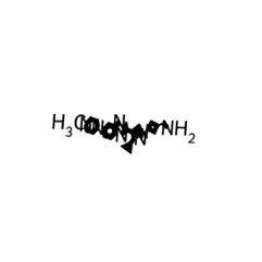 CN1CCN(c2ccc3nc(-c4cn([C@H]5C[C@H](CN)C5)nc4C4CC4)cnc3c2)CC1